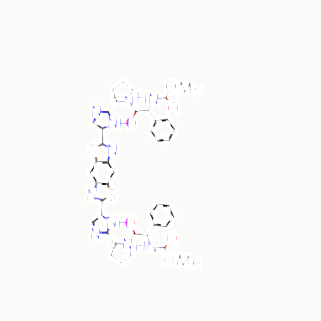 COC(=O)NC(C(=O)N1CCC[C@H]1c1ncc(-c2nc3cc4sc(-c5cnc([C@@H]6CCCN6C(=O)C(NC(=O)OC)c6ccccc6)[nH]5)nc4cc3s2)[nH]1)c1ccccc1